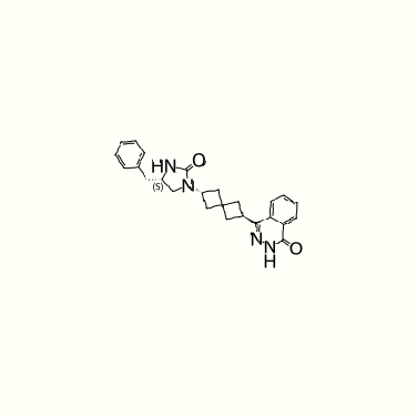 O=C1N[C@@H](Cc2ccccc2)CN1[C@H]1CC2(C[C@H](c3n[nH]c(=O)c4ccccc43)C2)C1